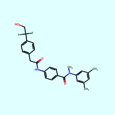 Cc1cc(C)cc(N(C)C(=O)c2ccc(NC(=O)Cc3ccc(C(F)(F)CO)cc3)cc2)c1